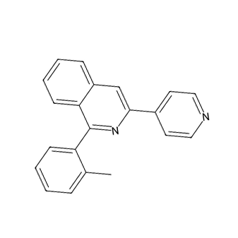 Cc1ccccc1-c1nc(-c2ccncc2)cc2ccccc12